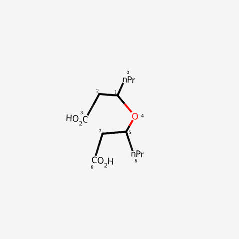 CCCC(CC(=O)O)OC(CCC)CC(=O)O